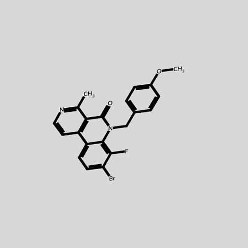 COc1ccc(Cn2c(=O)c3c(C)nccc3c3ccc(Br)c(F)c32)cc1